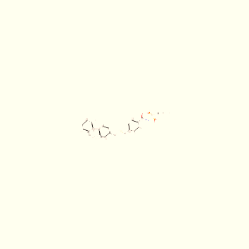 CCCCCCS(=O)(=O)NC(=O)c1ccc(CSCc2ccc(-c3ccccc3OC)cc2)cc1